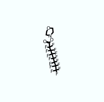 O=C(ON1CCOCC1)C(F)(F)C(F)(F)C(F)(F)C(F)(F)C(F)(F)C(F)(F)C(F)(F)F